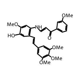 COc1cccc(C(=O)C=CNc2cc(OC)c(O)cc2C=Cc2cc(OC)c(OC)c(OC)c2)c1